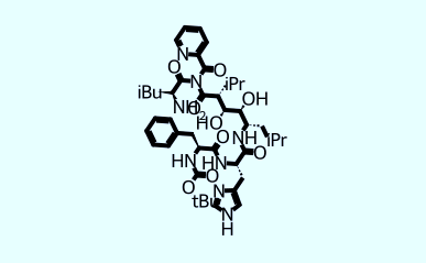 CC[C@H](C)[C@H](N)C(=O)N(C(=O)c1ccccn1)C(=O)[C@H](C(C)C)[C@@H](O)[C@H](O)[C@H](CC(C)C)NC(=O)[C@H](Cc1c[nH]cn1)NC(=O)[C@H](Cc1ccccc1)NC(=O)OC(C)(C)C